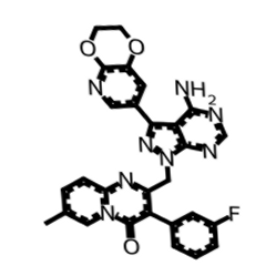 Cc1ccc2nc(Cn3nc(-c4cnc5c(c4)OCCO5)c4c(N)ncnc43)c(-c3cccc(F)c3)c(=O)n2c1